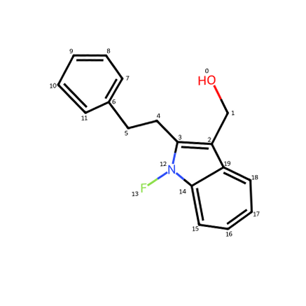 OCc1c(CCc2ccccc2)n(F)c2ccccc12